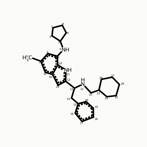 Cc1cc(NC2CCCC2)c2[nH]c(C(Cc3ccccc3)NCC3CCCCC3)cc2c1